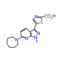 Cn1nc(-c2cnc(C(=O)O)s2)c2ccc(N3CCCCCC3)nc21